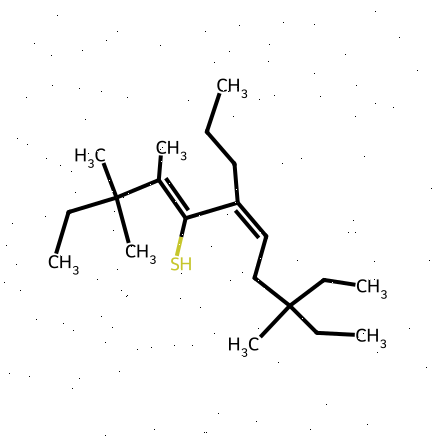 CCCC(=C/CC(C)(CC)CC)/C(S)=C(\C)C(C)(C)CC